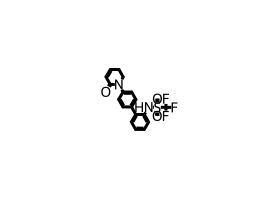 O=C1C=CCCN1c1ccc(-c2ccccc2NS(=O)(=O)C(F)(F)F)cc1